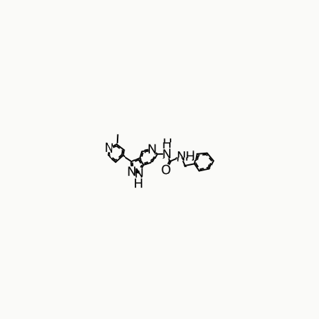 Cc1cc(-c2n[nH]c3cc(NC(=O)NCc4ccccc4)ncc23)ccn1